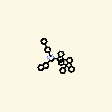 c1ccc(-c2ccc(-c3nc(-c4ccc5ccccc5c4)cc(-c4ccc(-c5cccc6c5C(c5ccccc5)(c5ccccc5)c5ccccc5-6)c5ccccc45)n3)cc2)cc1